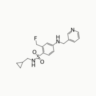 O=S(=O)(NCC1CC1)c1ccc(NCc2cccnc2)cc1CF